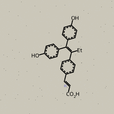 CCC(=C(c1ccc(O)cc1)c1ccc(O)cc1)c1ccc(/C=C/C(=O)O)cc1